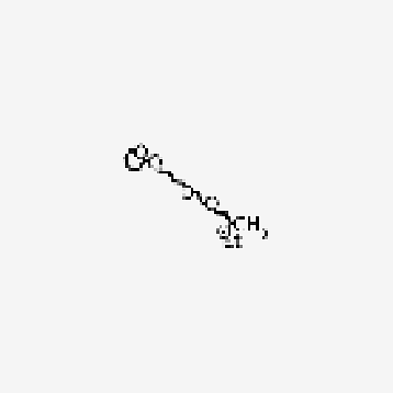 CCOC(C)CCOCCOCCCCOC1CCCCO1